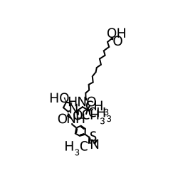 Cc1ncsc1-c1ccc(CNC(=O)[C@@H]2C[C@@H](O)CN2C(=O)[C@@H](NC(=O)CCCCCCCCCCCCCC(=O)O)C(C)(C)C)cc1